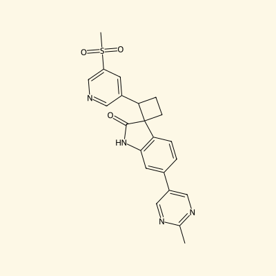 Cc1ncc(-c2ccc3c(c2)NC(=O)C32CCC2c2cncc(S(C)(=O)=O)c2)cn1